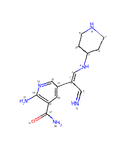 N=C/C(=C\NC1CCNCC1)c1cnc(N)c(C(N)=O)c1